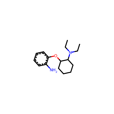 CCN(CC)C1CCCCC1Oc1ccccc1N